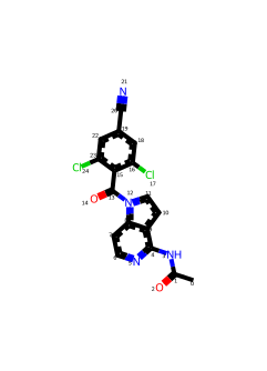 CC(=O)Nc1nccc2c1ccn2C(=O)c1c(Cl)cc(C#N)cc1Cl